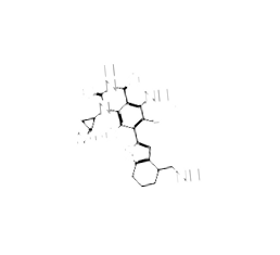 COc1c(-c2cc3c(s2)CCCC3CN)c(F)c(N)c2c(=O)[nH]c(=O)n(C3CC3)c12